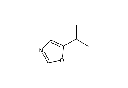 CC(C)c1cn[c]o1